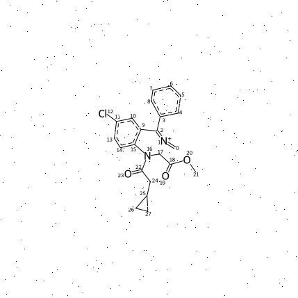 C=[N+]=C(c1ccccc1)c1cc(Cl)ccc1N(CC(=O)OC)C(=O)CC1CC1